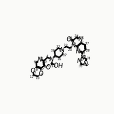 O=C(O)N(Cc1cc2c(cn1)OCCO2)C1CCN(CCn2c(=O)cnc3ccc(-n4cncn4)nc32)CC1